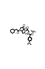 CC(C)C[C@H](NC(=O)c1ccc(N(C)C)cc1)C(=O)N1CCC2[C@H]1C(=O)CN2C(=O)CC1CCCCC1